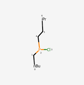 CCCCCP(Cl)CCC(C)C